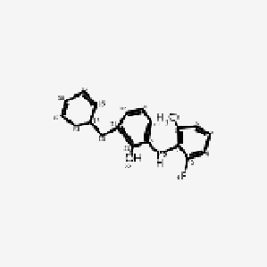 Cc1cccc(F)c1Pc1cccc(CC2C=CC=CC2)c1O